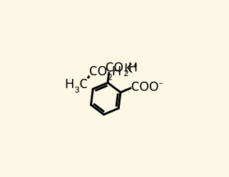 CC(=O)O.O=C([O-])c1ccccc1C(=O)O.[K+]